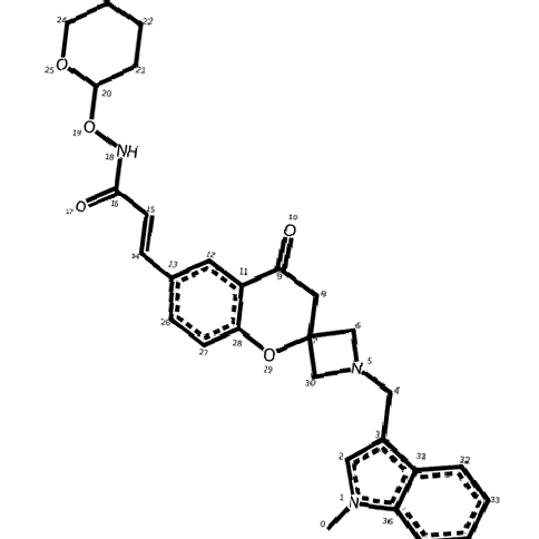 Cn1cc(CN2CC3(CC(=O)c4cc(C=CC(=O)NOC5CCCCO5)ccc4O3)C2)c2ccccc21